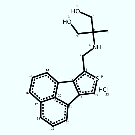 CC(CO)(CO)NCc1scc2c1-c1cccc3cccc-2c13.Cl